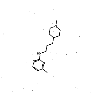 Cc1ccnc(NCCCC2CCN(C)CC2)n1